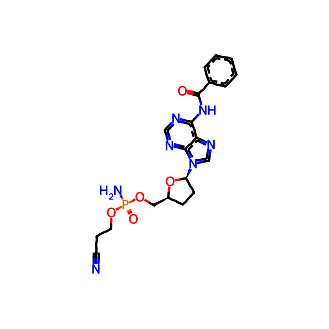 N#CCCOP(N)(=O)OC[C@@H]1CC[C@H](n2cnc3c(NC(=O)c4ccccc4)ncnc32)O1